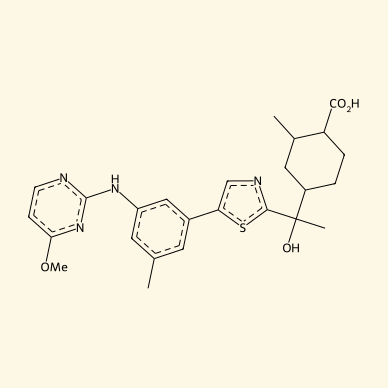 COc1ccnc(Nc2cc(C)cc(-c3cnc(C(C)(O)C4CCC(C(=O)O)C(C)C4)s3)c2)n1